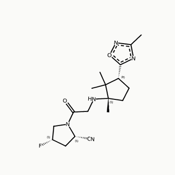 Cc1noc([C@@H]2CC[C@](C)(NCC(=O)N3C[C@@H](F)C[C@H]3C#N)C2(C)C)n1